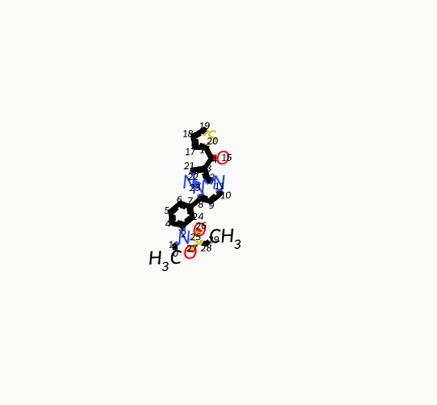 CCN(c1cccc(-c2ccnc3c(C(=O)c4cccs4)cnn23)c1)S(=O)(=O)CC